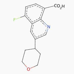 O=C(O)c1ccc(F)c2cc(C3CCOCC3)cnc12